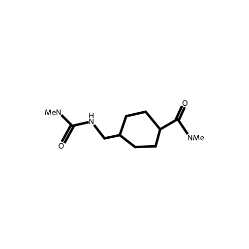 CNC(=O)NCC1CCC(C(=O)NC)CC1